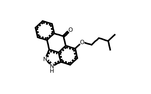 CC(C)CCOc1ccc2[nH]nc3c2c1C(=O)c1ccccc1-3